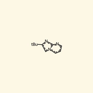 CC(C)(C)c1cn2cccnc2n1